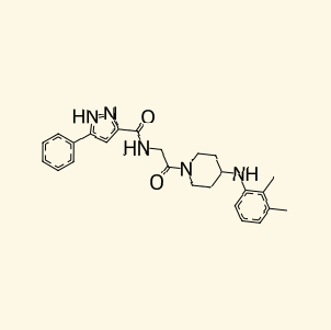 Cc1cccc(NC2CCN(C(=O)CNC(=O)c3cc(-c4ccccc4)[nH]n3)CC2)c1C